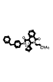 COCCN1C(=O)c2ccccc2C(C(=O)Nc2ccc(Cc3ccccc3)cc2)C1c1cccs1